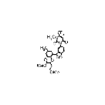 COCCC(Oc1ccc(C)cc1-c1nsc2ccc(-n3c(=O)cc(C(F)(F)F)n(C)c3=O)cc12)C(=O)OC